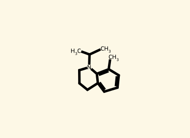 Cc1cccc2c1N(C(C)C)CCC2